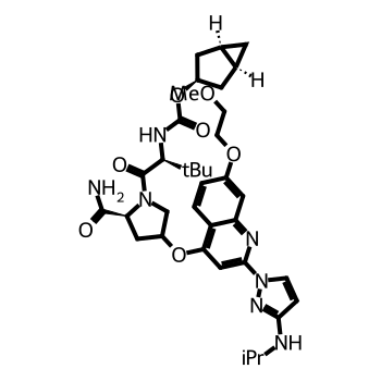 COCCOc1ccc2c(OC3C[C@@H](C(N)=O)N(C(=O)[C@@H](NC(=O)O[C@@H]4C[C@@H]5C[C@@H]5C4)C(C)(C)C)C3)cc(-n3ccc(NC(C)C)n3)nc2c1